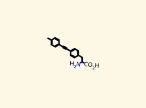 Cc1ccc(C#Cc2ccc(CC(N)C(=O)O)cc2)cc1